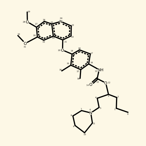 CCCC(CCN1CCCCC1)OC(=O)Nc1ccc(Oc2ccnc3cc(OC)c(OC)cc23)c(C)c1C